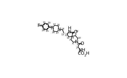 O=C(O)NCC(=O)N1CCC2(CC1)C[C@H](CCN1CCN(c3ccc(F)cc3)CC1)NC2=O